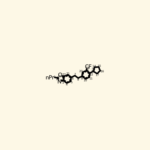 CCCc1nc2ccc(CCc3ccc(C4CCCC4)c(C(F)(F)F)c3)cc2o1